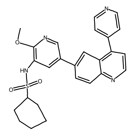 COc1ncc(-c2ccc3nccc(-c4ccncc4)c3c2)cc1NS(=O)(=O)C1CCCCC1